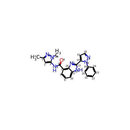 Cc1cc(NC(=O)c2cccc3[nH]c(-c4ccnn4-c4ccccc4)nc23)n(C)n1